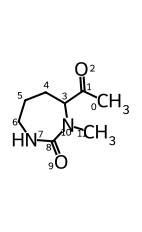 CC(=O)C1CCCNC(=O)N1C